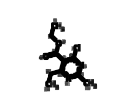 CCOC(=O)c1c(Cl)nc(C)nc1CC